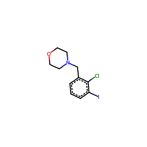 Clc1c(I)cccc1CN1CCOCC1